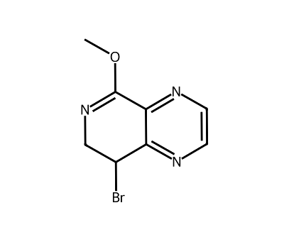 COC1=NCC(Br)c2nccnc21